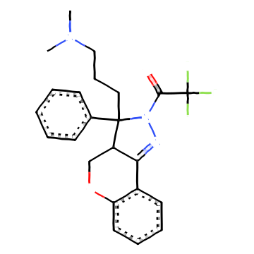 CN(C)CCCC1(c2ccccc2)C2COc3ccccc3C2=NN1C(=O)C(F)(F)F